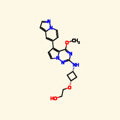 COc1nc(N[C@H]2C[C@@H](OCCO)C2)nn2ccc(-c3ccn4nccc4c3)c12